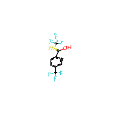 OC(=[SH]C(F)(F)F)c1ccc(C(F)(F)F)cc1